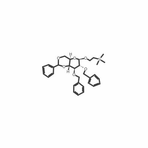 C[Si](C)(C)CCO[C@@H]1O[C@@H]2COC(c3ccccc3)O[C@H]2[C@H](OCc2ccccc2)[C@H]1OCc1ccccc1